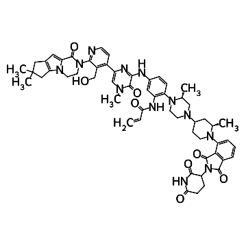 C=CC(=O)Nc1cc(Nc2nc(-c3ccnc(N4CCn5c(cc6c5CC(C)(C)C6)C4=O)c3CO)cn(C)c2=O)ccc1N1CCN(C2CCN(c3cccc4c3C(=O)N(C3CCC(=O)NC3=O)C4=O)[C@H](C)C2)C[C@@H]1C